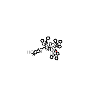 O=C(OC(c1ccccc1)c1ccccc1)C1=C(/C=C/Cn2cc3cc(O)c(=O)cc-3cn2)CS[C@H]2C(NC(=O)/C(=N\OC(c3ccccc3)(c3ccccc3)c3ccccc3)c3csc(NC(c4ccccc4)(c4ccccc4)c4ccccc4)n3)C(=O)N12